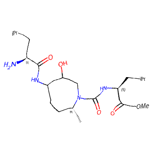 COC(=O)[C@H](CC(C)C)NC(=O)N1CC(O)C(NC(=O)[C@@H](N)CC(C)C)CC[C@H]1C